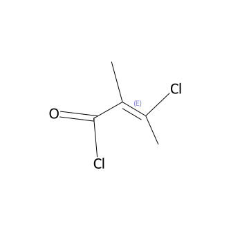 C/C(Cl)=C(/C)C(=O)Cl